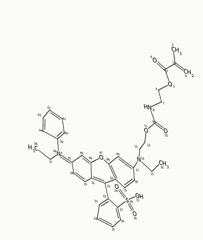 C=C(C)C(=O)OCCNC(=O)OCCN(CC)c1ccc2c(-c3ccccc3S(=O)(=O)O)c3cc/c(=[N+](\CC)c4ccccc4)cc-3oc2c1